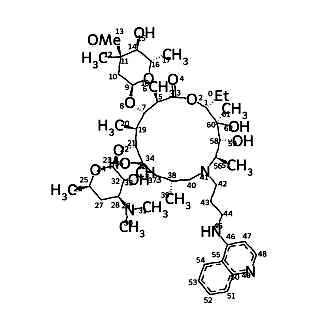 CC[C@H]1OC(=O)[C@H](C)[C@@H](O[C@H]2C[C@@](C)(OC)[C@@H](O)[C@H](C)O2)[C@H](C)[C@@H](O[C@@H]2O[C@H](C)C[C@H](N(C)C)[C@H]2O)[C@](C)(O)C[C@@H](C)CN(CCCNc2ccnc3ccccc23)[C@H](C)[C@@H](O)[C@]1(C)O